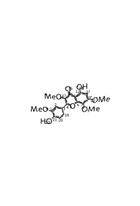 COc1cc(-c2oc3c(OC)c(OC)cc(O)c3c(=O)c2OC)ccc1O